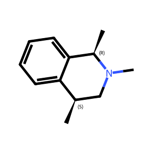 C[C@@H]1CN(C)[C@H](C)c2ccccc21